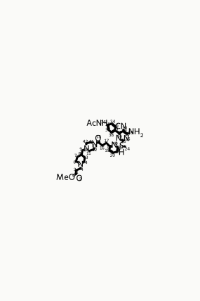 COC(=O)CCN1CCC(CN2CCN(C(=O)CCc3cccc([SH](C)c4nc(N)c(C#N)c(-c5ccc(NC(C)=O)cc5)n4)n3)CC2)CC1